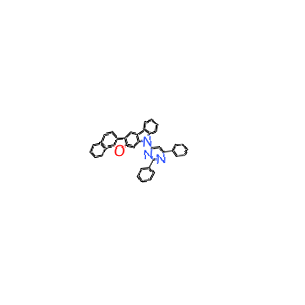 c1ccc(-c2cc(-n3c4ccccc4c4cc5c(cc43)oc3c4ccccc4ccc53)nc(-c3ccccc3)n2)cc1